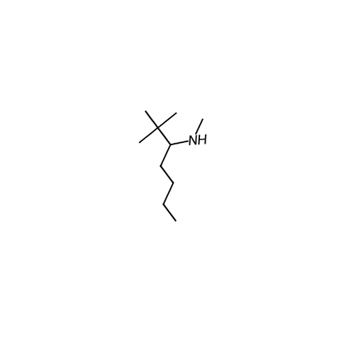 CCCCC(NC)C(C)(C)C